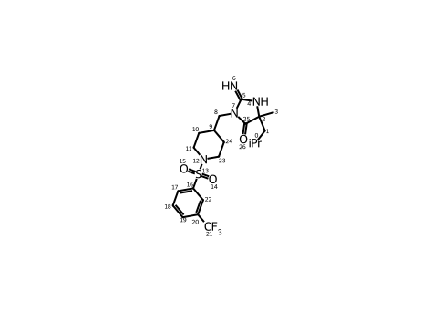 CC(C)CC1(C)NC(=N)N(CC2CCN(S(=O)(=O)c3cccc(C(F)(F)F)c3)CC2)C1=O